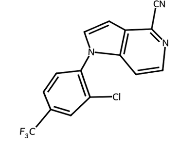 N#Cc1nccc2c1ccn2-c1ccc(C(F)(F)F)cc1Cl